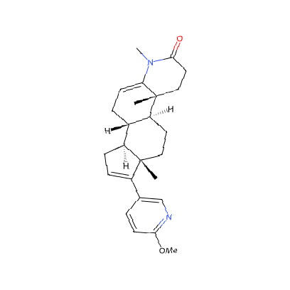 COc1ccc(C2=CC[C@H]3[C@@H]4CC=C5N(C)C(=O)CC[C@]5(C)[C@H]4CC[C@]23C)cn1